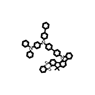 CC1(C)c2ccc3c4ccccc4n(-c4ccc(-c5ccc(N(c6ccc(-c7ccccc7)cc6)c6ccc(N(c7ccccc7)c7ccccc7)cc6)cc5)cc4)c3c2-c2ccc3c(c21)Sc1ccccc1S3